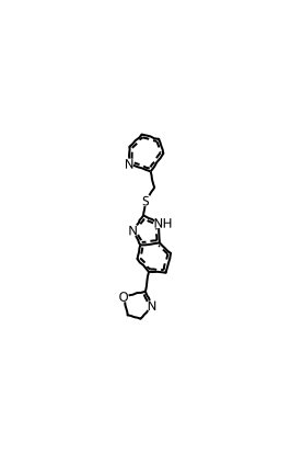 c1ccc(CSc2nc3cc(C4=NCCO4)ccc3[nH]2)nc1